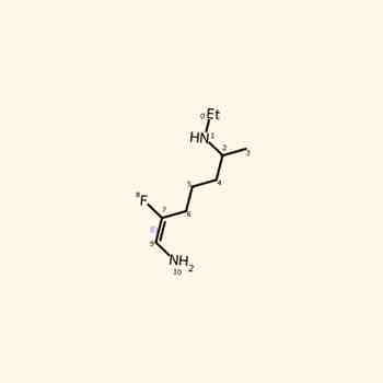 CCNC(C)CCC/C(F)=C\N